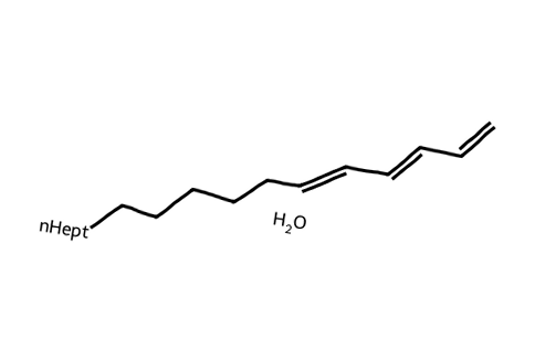 C=CC=CC=CCCCCCCCCCCCC.O